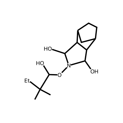 CCC(C)(C)C(O)ON1C(O)C2C3CCC(C3)C2C1O